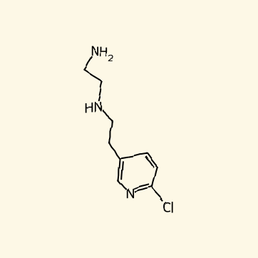 NCCNCCc1ccc(Cl)nc1